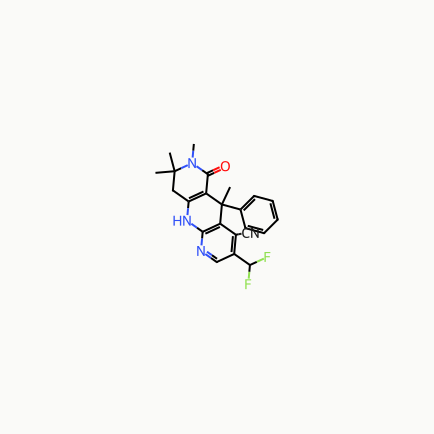 CN1C(=O)C2=C(CC1(C)C)Nc1ncc(C(F)F)c(C#N)c1C2(C)c1ccccc1